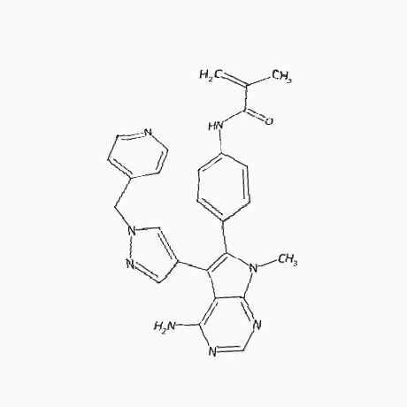 C=C(C)C(=O)Nc1ccc(-c2c(-c3cnn(Cc4ccncc4)c3)c3c(N)ncnc3n2C)cc1